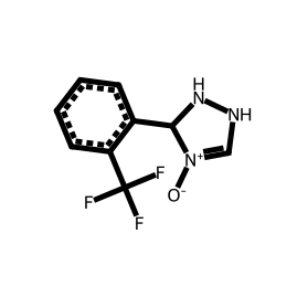 [O-][N+]1=CNNC1c1ccccc1C(F)(F)F